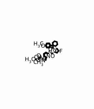 COc1ccc(C2(C(=O)N3C[C@H](F)C[C@@H]3C(=O)Nc3ccc4c(cnn4C(=O)OC(C)(C)C)n3)CCCCC2)cc1